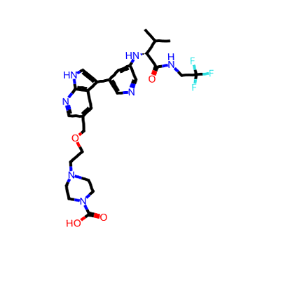 CC(C)[C@@H](Nc1cncc(-c2c[nH]c3ncc(COCCN4CCN(C(=O)O)CC4)cc23)c1)C(=O)NCC(F)(F)F